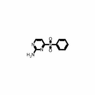 Nc1nccc(S(=O)(=O)c2ccccc2)n1